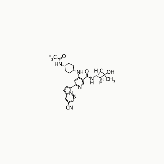 CC(C)(O)[C@H](F)CNC(=O)c1cnc(-c2ccc3cc(C#N)cnn23)cc1N[C@H]1CC[C@@H](NC(=O)C(F)(F)F)CC1